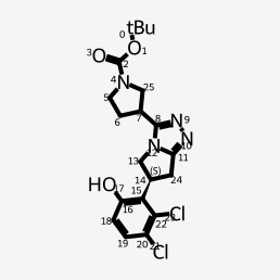 CC(C)(C)OC(=O)N1CCC(c2nnc3n2C[C@H](c2c(O)ccc(Cl)c2Cl)C3)C1